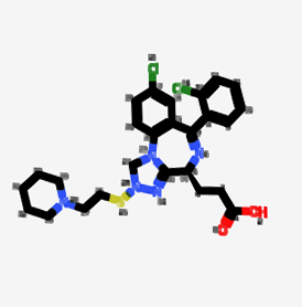 O=C(O)CC[C@@H]1N=C(c2ccccc2Cl)c2cc(Cl)ccc2N2CN(SCCN3CCCCC3)N=C12